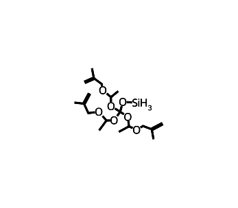 C=C(C)COC(C)OC(O[SiH3])(OC(C)OCC(=C)C)OC(C)OCC(=C)C